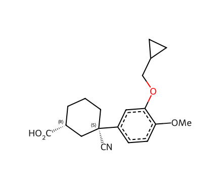 COc1ccc([C@]2(C#N)CCC[C@@H](C(=O)O)C2)cc1OCC1CC1